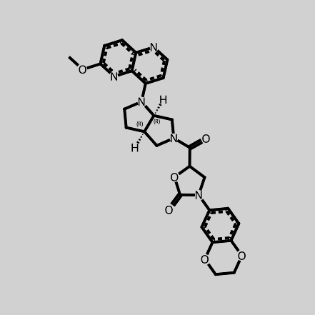 COc1ccc2nccc(N3CC[C@@H]4CN(C(=O)C5CN(c6ccc7c(c6)OCCO7)C(=O)O5)C[C@@H]43)c2n1